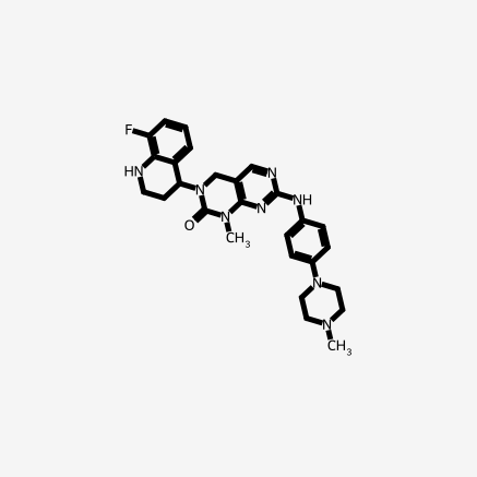 CN1CCN(c2ccc(Nc3ncc4c(n3)N(C)C(=O)N(C3CCNc5c(F)cccc53)C4)cc2)CC1